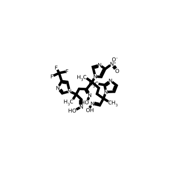 Cc1nccn1C(C)(C=NO)CCC(C)(C(CC(C)(C=NO)n1cnc(C(F)(F)F)c1)=NO)n1cnc([N+](=O)[O-])c1